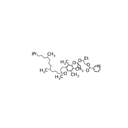 CCC(COC(=O)c1cccnc1)OC(=O)Oc1c(C)c(C)c2c(c1C)CC[C@](C)(CCCC(C)CCCC(C)CCCC(C)C)O2